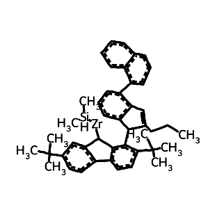 CCCC1=Cc2c(-c3cccc4ccccc34)cccc2C1c1c(C(C)(C)C)ccc2c1[CH]([Zr][SiH](C)C)c1cc(C(C)(C)C)ccc1-2